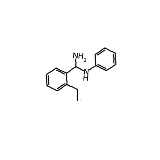 [CH2]Cc1ccccc1C(N)Nc1ccccc1